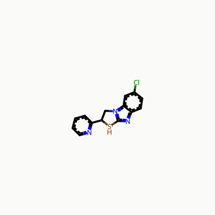 Clc1ccc2nc3n(c2c1)CC(c1ccccn1)[SH]3